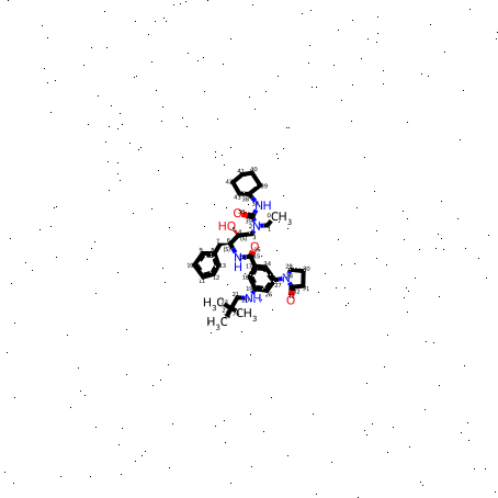 CCN(C[C@H](O)[C@H](Cc1ccccc1)NC(=O)c1cc(NCC(C)(C)C)cc(N2CCCC2=O)c1)C(=O)NC1CCCCC1